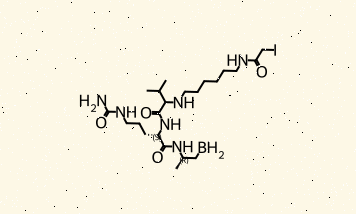 BC[C@@H](C)NC(=O)[C@H](CCCNC(N)=O)NC(=O)C(NCCCCCCNC(=O)CI)C(C)C